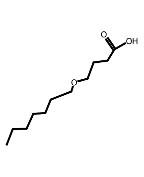 CCCCCCCOCCCC(=O)O